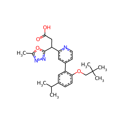 Cc1nnc(C(CC(=O)O)c2cc(-c3cc(C(C)C)ccc3OCC(C)(C)C)ccn2)o1